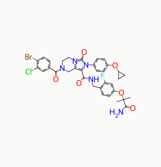 CC(C)(Oc1ccc(CNC(=O)c2c3n(c(=O)n2-c2ccc(OC4CC4)cc2)CCN(C(=O)c2ccc(Br)c(Cl)c2)C3)c(F)c1)C(N)=O